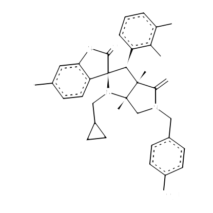 O=C(O)c1ccc(CN2C[C@H]3[C@@H](C2=O)[C@H](c2cccc(Cl)c2F)[C@]2(C(=O)Nc4cc(Cl)ccc42)N3CC2CC2)cc1